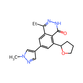 CCc1n[nH]c(=O)c2c(C3CCCO3)cc(-c3cnn(C)c3)cc12